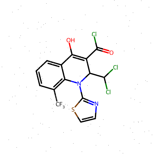 O=C(Cl)C1=C(O)c2cccc(C(F)(F)F)c2N(c2nccs2)C1C(Cl)Cl